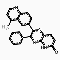 Cc1ccnc2ccc(-c3nc4ccc(=O)[nH]c4nc3-c3ccccc3)cc12